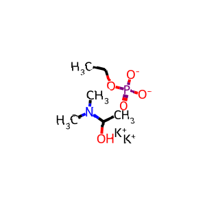 CC(O)N(C)C.CCOP(=O)([O-])[O-].[K+].[K+]